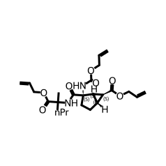 C=CCOC(=O)N[C@@]1(C(=O)NC(C)(CCC)C(=O)OCC=C)CC[C@H]2[C@H](C(=O)OCC=C)[C@H]21